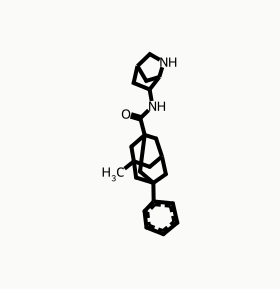 CC12CC3CC(C(=O)NC4CC5CNC4C5)(C1)CC(c1ccccc1)(C3)C2